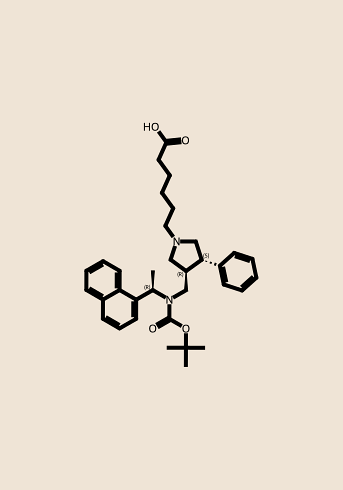 C[C@H](c1cccc2ccccc12)N(C[C@H]1CN(CCCCCC(=O)O)C[C@@H]1c1ccccc1)C(=O)OC(C)(C)C